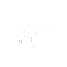 CCOc1cc(N(C)C)c([N+](=O)[O-])cc1Cl